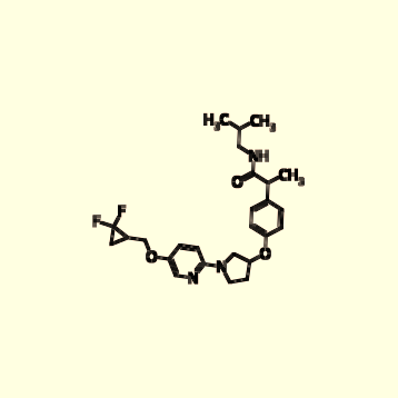 CC(C)CNC(=O)C(C)c1ccc(OC2CCN(c3ccc(OCC4CC4(F)F)cn3)C2)cc1